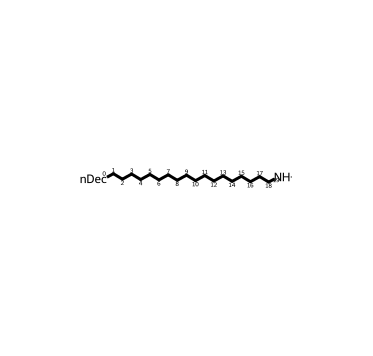 CCCCCCCCCCCCCCCCCCCCCCCCCCCC[NH]